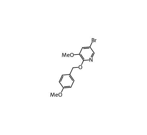 COc1ccc(COc2ncc(Br)cc2OC)cc1